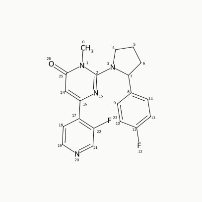 Cn1c(N2CCCC2c2ccc(F)cc2)nc(-c2ccncc2F)cc1=O